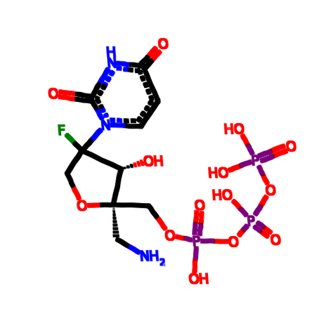 NC[C@]1(COP(=O)(O)OP(=O)(O)OP(=O)(O)O)OCC(F)(n2ccc(=O)[nH]c2=O)[C@@H]1O